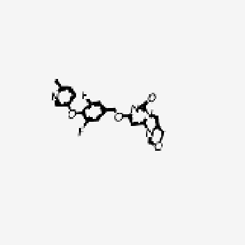 Cc1ccc(Oc2c(F)cc(COc3cc4n(c(=O)n3)CC3COCN43)cc2F)cn1